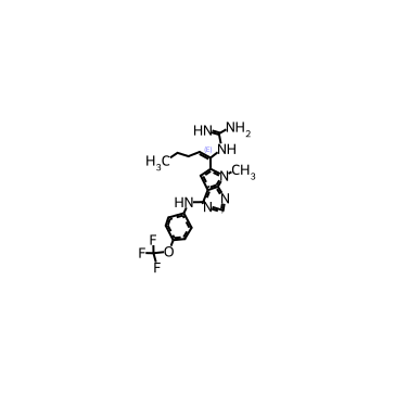 CCC/C=C(/NC(=N)N)c1cc2c(Nc3ccc(OC(F)(F)F)cc3)ncnc2n1C